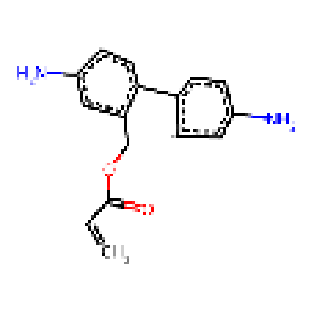 C=CC(=O)OCc1cc(N)ccc1-c1[c]cc(N)cc1